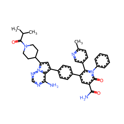 Cc1ccc(-c2c(-c3ccc(-c4cc(C5CCN(C(=O)C(C)C)CC5)n5ncnc(N)c45)cc3)cc(C(N)=O)c(=O)n2-c2ccccc2)cn1